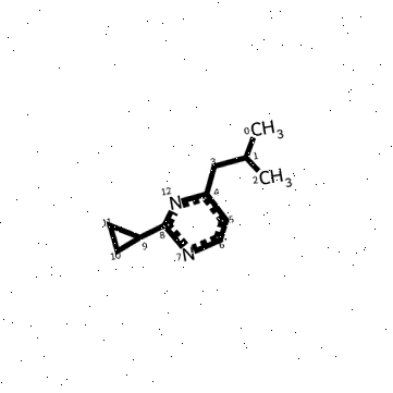 CC(C)Cc1c[c]nc(C2CC2)n1